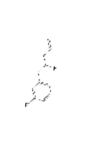 [CH]=CCC(F)Cc1cccc(F)c1